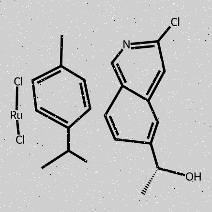 C[C@@H](O)c1ccc2cnc(Cl)cc2c1.Cc1ccc(C(C)C)cc1.[Cl][Ru][Cl]